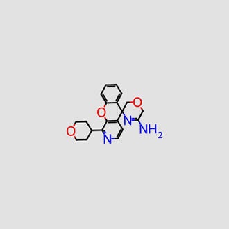 NC1=NC2(COC1)c1ccccc1Oc1c2ccnc1C1CCOCC1